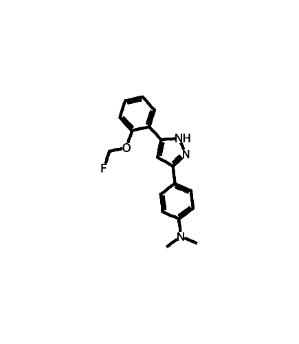 CN(C)c1ccc(-c2cc(-c3ccccc3OCF)[nH]n2)cc1